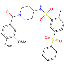 COc1ccc(C(=O)N2CCC(NS(=O)(=O)c3cc(S(=O)(=O)c4ccccc4)ccc3C)CC2)cc1OC